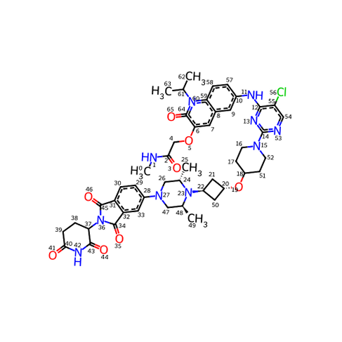 CNC(=O)COc1cc2cc(Nc3nc(N4CCC(O[C@H]5C[C@H](N6[C@@H](C)CN(c7ccc8c(c7)C(=O)N(C7CCC(=O)NC7=O)C8=O)C[C@@H]6C)C5)CC4)ncc3Cl)ccc2n(C(C)C)c1=O